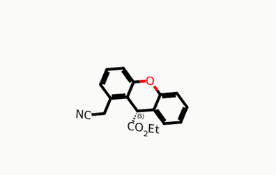 CCOC(=O)[C@H]1c2ccccc2Oc2cccc(CC#N)c21